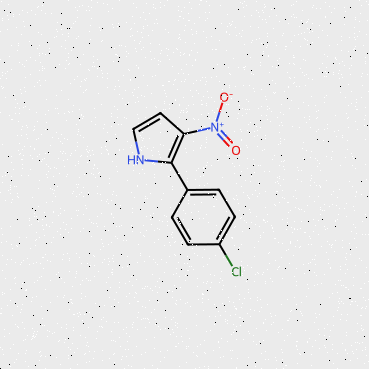 O=[N+]([O-])c1cc[nH]c1-c1ccc(Cl)cc1